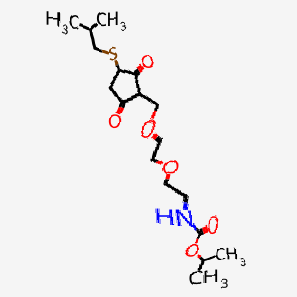 CC(C)CSC1CC(=O)C(COCCOCCNC(=O)OC(C)C)C1=O